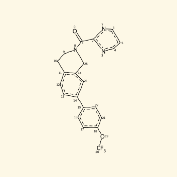 O=C(c1ncccn1)N1CCc2ccc(-c3ccc(OC(F)(F)F)cc3)cc2C1